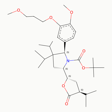 COCCCOc1cc([C@H]2N(C(=O)OC(C)(C)C)[C@H]([C@@H]3C[C@@H](C(C)C)C(=O)O3)CC2(C(C)C)C(C)C)ccc1OC